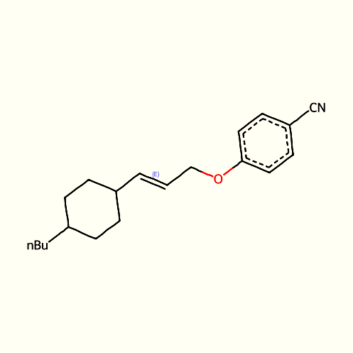 CCCCC1CCC(/C=C/COc2ccc(C#N)cc2)CC1